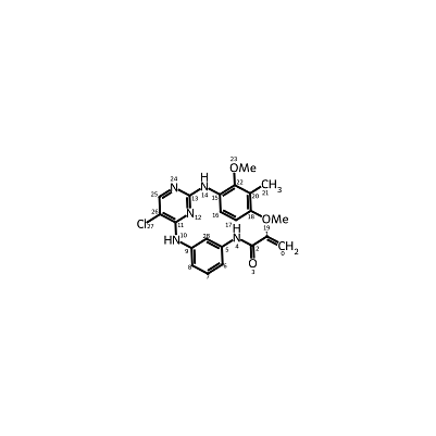 C=CC(=O)Nc1cccc(Nc2nc(Nc3ccc(OC)c(C)c3OC)ncc2Cl)c1